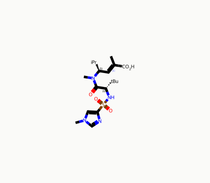 C/C(=C\[C@H](C(C)C)N(C)C(=O)[C@@H](NS(=O)(=O)c1cn(C)cn1)C(C)(C)C)C(=O)O